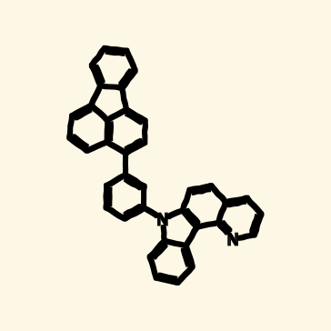 c1cc(-c2ccc3c4c(cccc24)-c2ccccc2-3)cc(-n2c3ccccc3c3c4ncccc4ccc32)c1